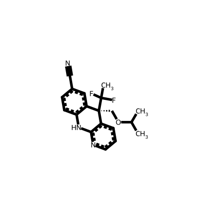 CC(C)OC[C@@]1(C(C)(F)F)c2cc(C#N)ccc2Nc2ncccc21